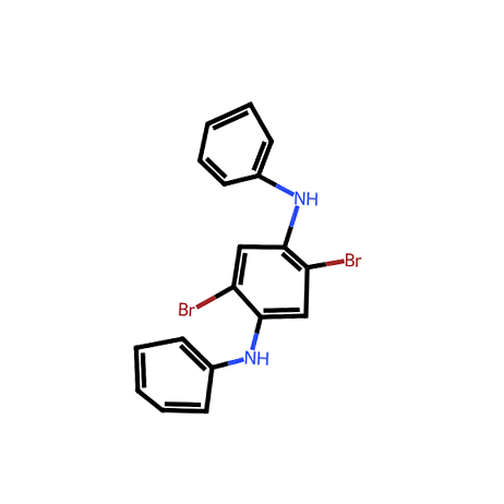 Brc1cc(Nc2ccccc2)c(Br)cc1Nc1ccccc1